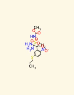 C=C(c1cc(SCCC)ccc1[N+](=O)[O-])C(N)(N)S(=O)(=O)ONC(=O)OC